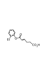 CCc1ccccc1OC(=O)C=CCCC(=O)O